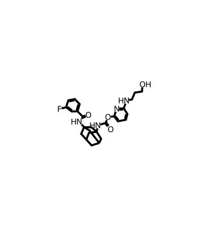 O=C(NC12CC3CC(C1)CC(NC(=O)c1cccc(F)c1)(C3)C2)Oc1cccc(NCCCO)n1